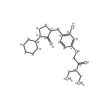 CCN(CC)C(=O)COc1ccc(CC2CCN(C3CCCCC3)C2=O)c(Cl)c1